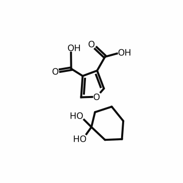 O=C(O)c1cocc1C(=O)O.OC1(O)CCCCC1